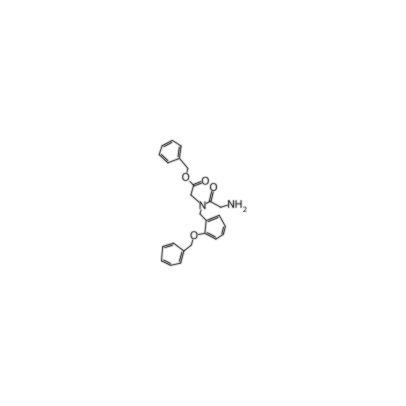 NCC(=O)N(CC(=O)OCc1ccccc1)Cc1ccccc1OCc1ccccc1